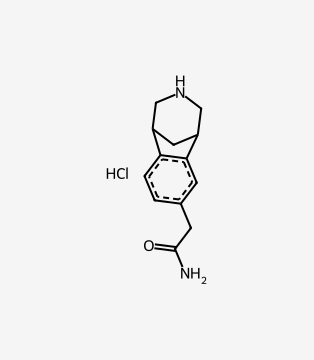 Cl.NC(=O)Cc1ccc2c(c1)C1CNCC2C1